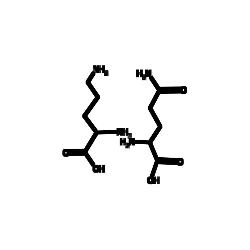 NC(=O)CCC(N)C(=O)O.NCCCC(N)C(=O)O